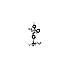 Cc1cc(Cl)ccc1C(NC(=O)Cc1ccc(OCc2c(C(=O)O)noc2C)cc1)c1ccccc1